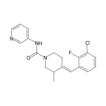 CC1CN(C(=O)Nc2cccnc2)CCC1=Cc1cccc(Cl)c1F